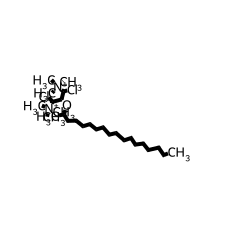 CCCCCCCCCCCCCCCCC(C)OC(C(Cl)[N+](C)(C)C)C(Cl)[N+](C)(C)C